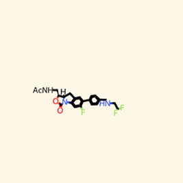 CC(=O)NC[C@@H]1OC(=O)N2c3cc(F)c(-c4ccc(CNCC(F)F)cc4)cc3C[C@@H]12